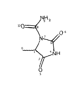 CC1C(=O)NC(=O)N1C(N)=O